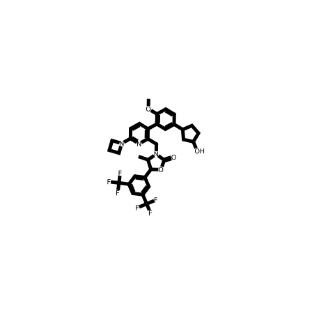 COc1ccc(C2CCC(O)C2)cc1-c1ccc(N2CCC2)nc1CN1C(=O)OC(c2cc(C(F)(F)F)cc(C(F)(F)F)c2)C1C